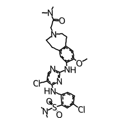 COc1cc2c(cc1Nc1ncc(Cl)c(Nc3ccc(Cl)cc3S(=O)(=O)N(C)C)n1)CCN(CC(=O)N(C)C)CC2